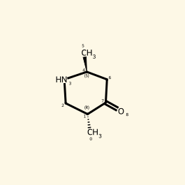 C[C@@H]1CN[C@@H](C)CC1=O